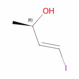 C[C@@H](O)C=CI